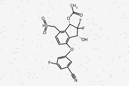 CC(=O)O[C@H]1c2c(C[SH](=O)=O)ccc(Oc3cc(F)cc(C#N)c3)c2[C@@H](O)C1(F)F